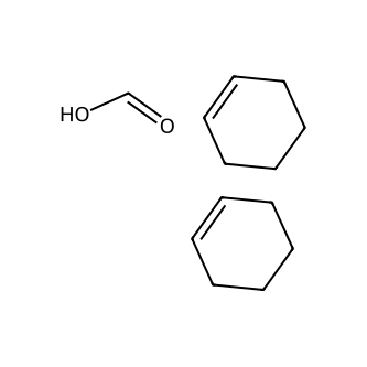 C1=CCCCC1.C1=CCCCC1.O=CO